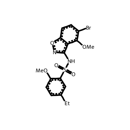 CCc1ccc(OC)c(S(=O)(=O)Nc2noc3ccc(Br)c(OC)c23)c1